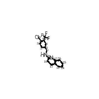 FC(F)(F)c1cc(CNc2ccc3ccccc3n2)ccc1Cl